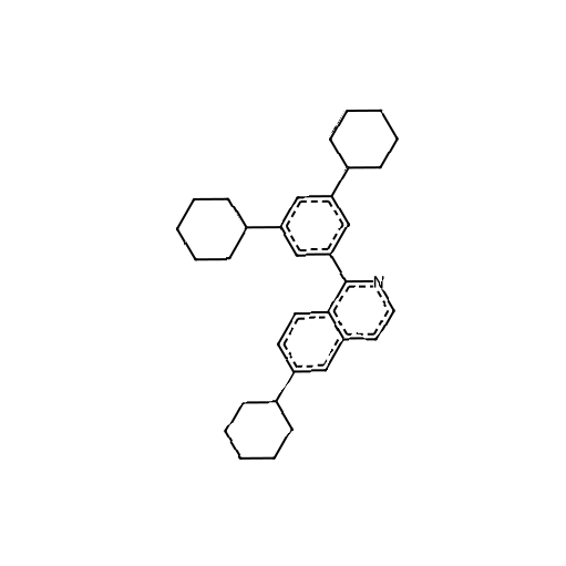 c1cc2cc(C3CCCCC3)ccc2c(-c2cc(C3CCCCC3)cc(C3CCCCC3)c2)n1